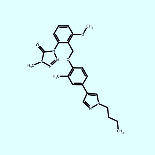 CCCCn1cc(-c2ccc(OCc3c(OC)cccc3-n3nnn(C)c3=O)c(C)c2)cn1